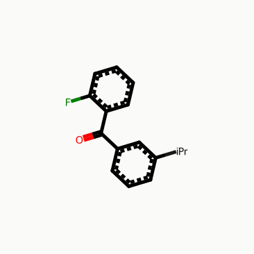 CC(C)c1cccc(C(=O)c2ccccc2F)c1